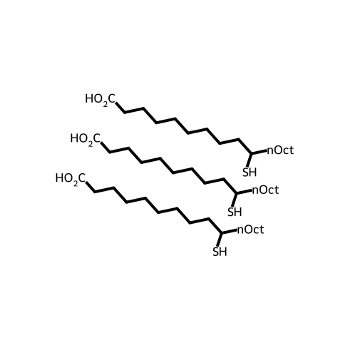 CCCCCCCCC(S)CCCCCCCCC(=O)O.CCCCCCCCC(S)CCCCCCCCC(=O)O.CCCCCCCCC(S)CCCCCCCCC(=O)O